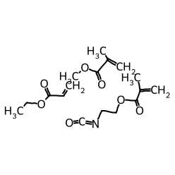 C=C(C)C(=O)OC.C=C(C)C(=O)OCCN=C=O.C=CC(=O)OCC